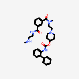 CNCCNC(=O)c1cccc(C(=O)N(C)CCN2CCC(OC(=O)Nc3ccccc3-c3ccccc3)CC2)c1